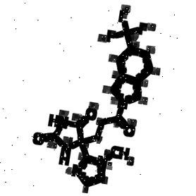 Cn1ccnc1C1(CCC(=O)n2cc3ccc(C(F)(F)F)cc3c2)NC(=O)NC1=O